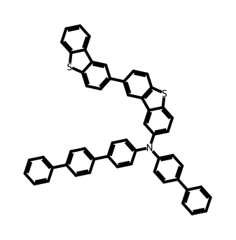 c1ccc(-c2ccc(-c3ccc(N(c4ccc(-c5ccccc5)cc4)c4ccc5sc6ccc(-c7ccc8sc9ccccc9c8c7)cc6c5c4)cc3)cc2)cc1